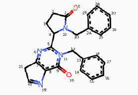 O=C1CCC(c2nc3c(c(=O)n2Cc2ccccc2)N=CC3)N1Cc1ccccc1